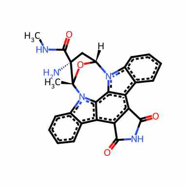 CNC(=O)[C@@]1(N)C[C@H]2O[C@]1(C)n1c3ccccc3c3c4c(c5c6ccccc6n2c5c31)C(=O)NC4=O